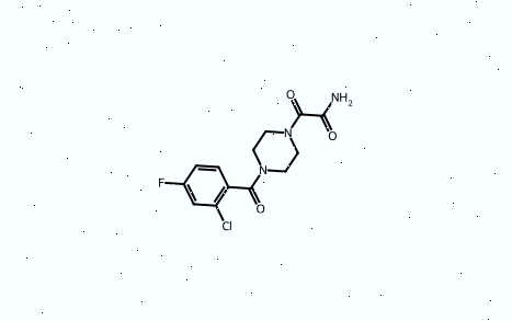 NC(=O)C(=O)N1CCN(C(=O)c2ccc(F)cc2Cl)CC1